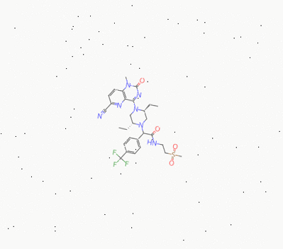 CC[C@H]1CN(C(C(=O)NCCS(C)(=O)=O)c2ccc(C(F)(F)F)cc2)[C@H](CC)CN1c1nc(=O)n(C)c2ccc(C#N)nc12